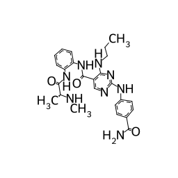 CCCNc1nc(Nc2ccc(C(N)=O)cc2)ncc1C(=O)Nc1ccccc1NC(=O)[C@H](C)NC